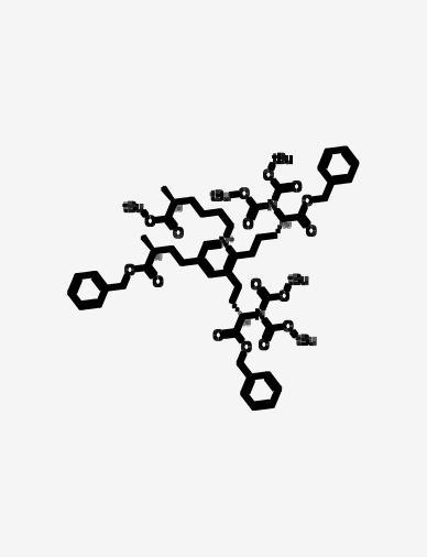 C[C@@H](CCc1cc(CC[C@@H](C(=O)OCc2ccccc2)N(C(=O)OC(C)(C)C)C(=O)OC(C)(C)C)c(CCC[C@@H](C(=O)OCc2ccccc2)N(C(=O)OC(C)(C)C)C(=O)OC(C)(C)C)[n+](CCCC[C@H](C)C(=O)OC(C)(C)C)c1)C(=O)OCc1ccccc1